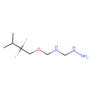 CC(C)C(F)(F)COCNCNN